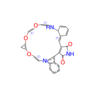 O=C1NC(=O)C2=C1/C=C1\C=CC=CC1N/C=C\O/C=C/OC1=C(C1)O/C=C/n1cc2c2ccccc21